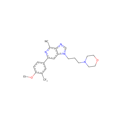 CCOc1ccc(-c2cc3c(ncn3CCCN3CCOCC3)c(C#N)n2)cc1C(F)(F)F